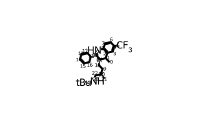 CC1c2cc(C(F)(F)F)ccc2N[C@@H](C2C=CC=CC2)[C@@H]1CC[C@@H](C)CNC(C)(C)C